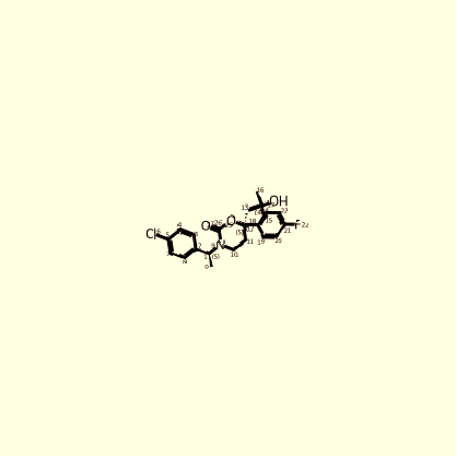 C[C@@H](c1ccc(Cl)cc1)N1CC[C@](CC(C)(C)O)(c2ccc(F)cc2)OC1=O